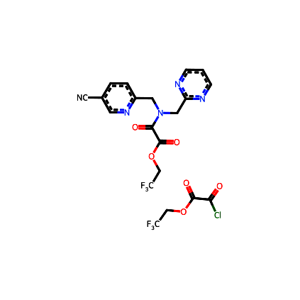 N#Cc1ccc(CN(Cc2ncccn2)C(=O)C(=O)OCC(F)(F)F)nc1.O=C(Cl)C(=O)OCC(F)(F)F